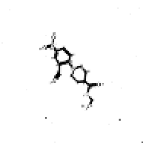 CCOC(=O)C1CCN(c2ccc([N+](=O)[O-])cc2C#N)CC1